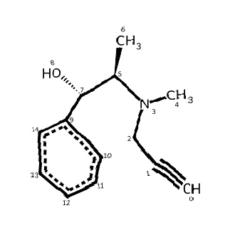 C#CCN(C)[C@H](C)[C@@H](O)c1ccccc1